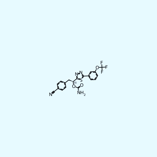 N#Cc1ccc(C[C@H](OC(N)=O)c2nnc(-c3cccc(OC(F)(F)F)c3)s2)cc1